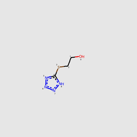 OCCSc1nnn[nH]1